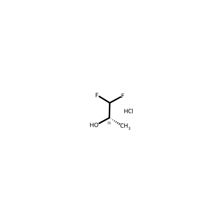 C[C@H](O)C(F)F.Cl